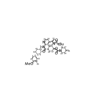 COc1ccc([C@H]2CC[C@H](CN(c3cc(-c4coc(C(C)(C)C)n4)ccn3)C(=O)[C@H]3CC[C@H](OC(=O)N4CCC(C)CC4)CC3)CC2)cc1C